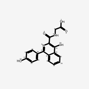 O=C(O)CNC(=O)c1nc(-c2ccc(O)cc2)c2ccccc2c1S